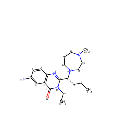 CCC[C@H](c1nc2ccc(I)cc2c(=O)n1CC)N1CCCN(C)CC1